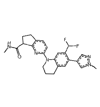 CNC(=O)C1CCc2ccc(N3CCCc4cc(-c5cnn(C)c5)c(C(F)F)cc43)nc21